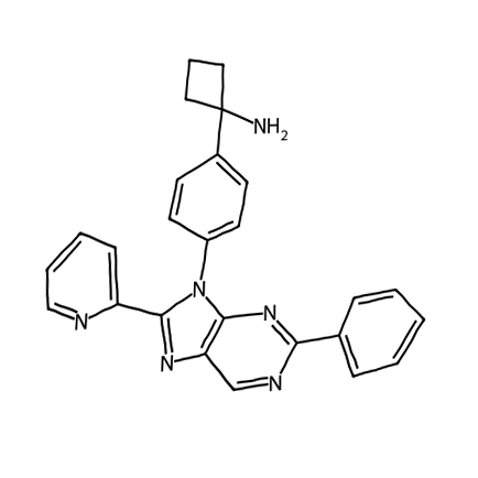 NC1(c2ccc(-n3c(-c4ccccn4)nc4cnc(-c5ccccc5)nc43)cc2)CCC1